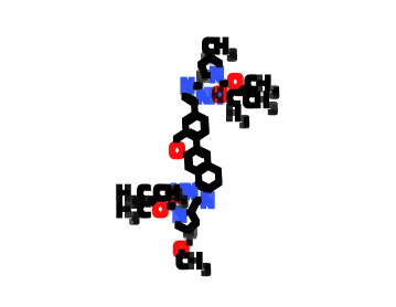 COC[C@H]1CC(c2nc3c([nH]2)-c2cc4c(cc2CC3)-c2ccc(-c3cnc([C@@H]5C[C@H](C)CN5C(=O)OC(C)(C)C)[nH]3)cc2CO4)N(C(=O)OC(C)(C)C)C1